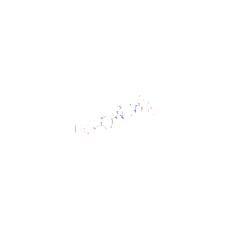 C[C@H]1CN(C(=O)OC(C)(C)C)CCN1c1ccc(C(C)(C)O)cc1